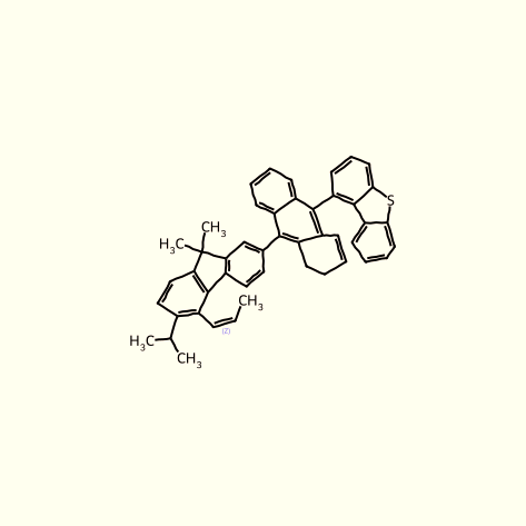 C/C=C\c1c(C(C)C)ccc2c1-c1ccc(-c3c4c(c(-c5cccc6sc7ccccc7c56)c5ccccc35)C=CCC4)cc1C2(C)C